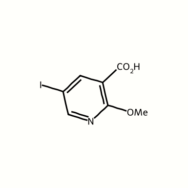 COc1ncc(I)cc1C(=O)O